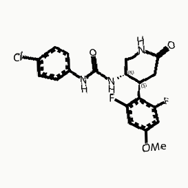 COc1cc(F)c([C@@H]2CC(=O)NC[C@H]2NC(=O)Nc2ccc(Cl)cc2)c(F)c1